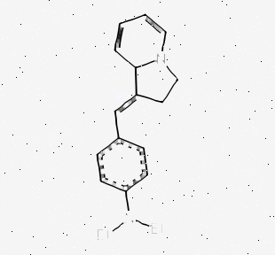 CCN(CC)c1ccc(/C=C2\CCN3C=CC=CC23)cc1